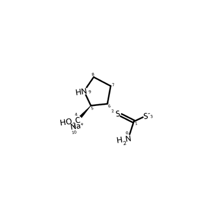 NC(=S)[S-].O=C(O)[C@@H]1CCCN1.[Na+]